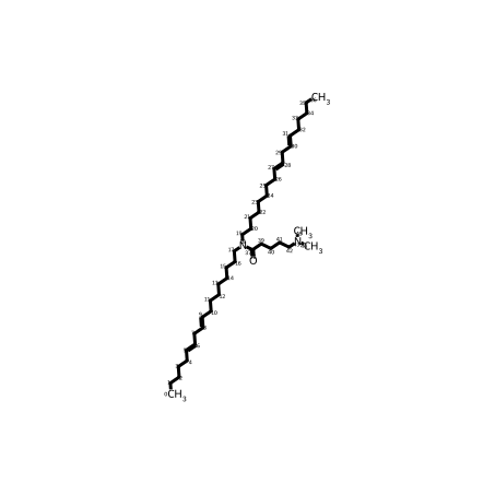 CCCCCC=CCC=CCCCCCCCCN(CCCCCCCCC=CCC=CCCCCC)C(=O)CCCCN(C)C